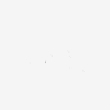 C[C@H]1C[C@@]2(CCN1Cc1cnn(C=C(O)C(N)=O)c1)OC[C@@H](O)c1cc(C(F)(F)F)sc12